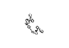 O=C(N[C@@H](C(=O)N1CCC[C@H]1c1ncc(C#Cc2ccc(-c3cnc([C@@H]4CCCN4C(=O)[C@H](NC(=O)N4CCOCC4)c4ccccc4)[nH]3)cc2)[nH]1)c1ccccc1)N1CCOCC1